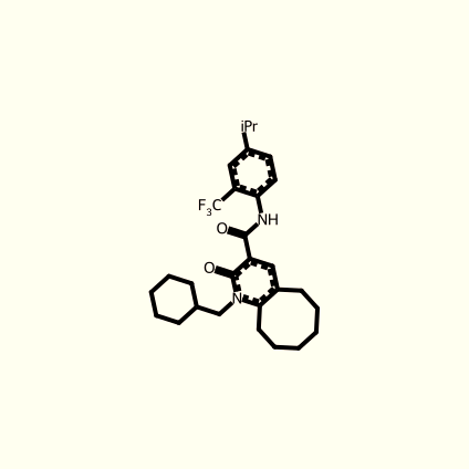 CC(C)c1ccc(NC(=O)c2cc3c(n(CC4CCCCC4)c2=O)CCCCCC3)c(C(F)(F)F)c1